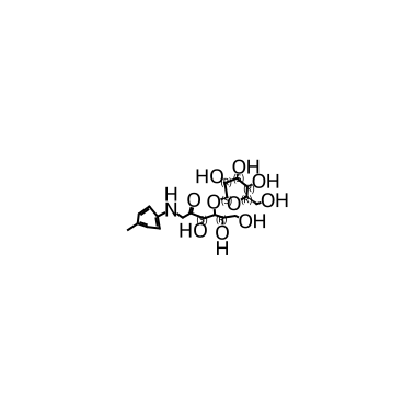 Cc1ccc(NCC(=O)[C@@H](O)C(O[C@@H]2O[C@H](CO)[C@H](O)[C@H](O)[C@H]2O)[C@H](O)CO)cc1